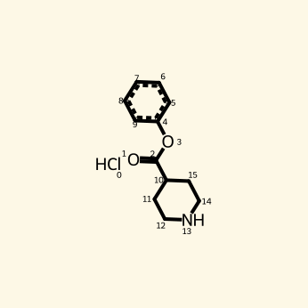 Cl.O=C(Oc1ccccc1)C1CCNCC1